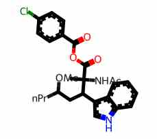 CCCC(CC(c1c[nH]c2ccccc12)C(C)(NC(C)=O)C(=O)OC(=O)c1ccc(Cl)cc1)OC